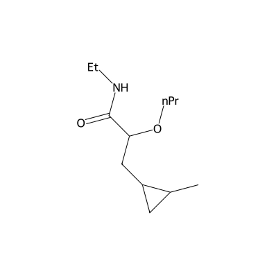 CCCOC(CC1CC1C)C(=O)NCC